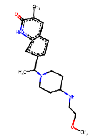 COCCNC1CCN(C(C)c2ccc3cc(C)c(=O)[nH]c3c2)CC1